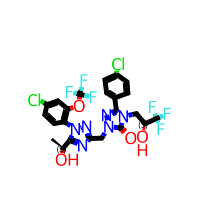 C[C@H](O)c1nc(Cn2nc(-c3ccc(Cl)cc3)n(C[C@H](O)C(F)(F)F)c2=O)nn1-c1ccc(Cl)cc1OC(F)(F)F